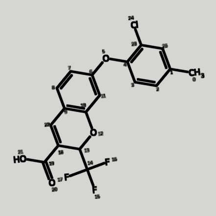 Cc1ccc(Oc2ccc3c(c2)OC(C(F)(F)F)C(C(=O)O)=C3)c(Cl)c1